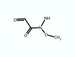 CON([NH])C(=O)[C]=O